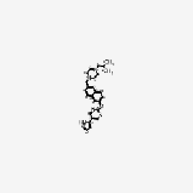 CC(C)CN1CCN(Cc2ccc3cc(Oc4ncc(-c5ccn[nH]5)cn4)ccc3c2)CC1